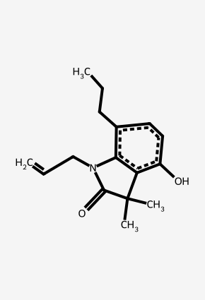 C=CCN1C(=O)C(C)(C)c2c(O)ccc(CCC)c21